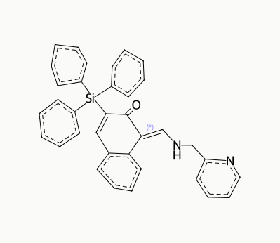 O=C1C([Si](c2ccccc2)(c2ccccc2)c2ccccc2)=Cc2ccccc2/C1=C\NCc1ccccn1